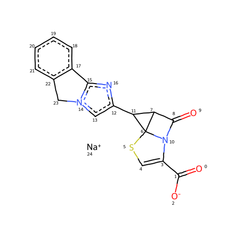 O=C([O-])C1=CSC23C(C(=O)N12)C3c1cn2c(n1)-c1ccccc1C2.[Na+]